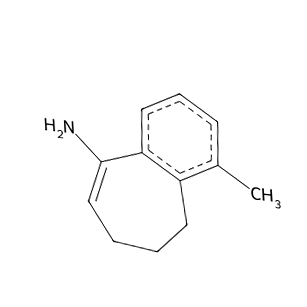 Cc1cccc2c1CCCC=C2N